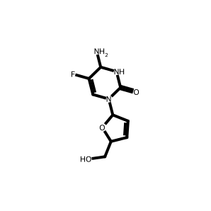 NC1NC(=O)N(C2C=CC(CO)O2)C=C1F